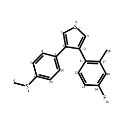 CSc1ccc(-c2cscc2-c2ccc(F)cc2C)cc1